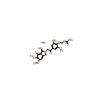 Br.CCOc1cc(C(=O)CN2Cc3cc(OCC)c(OCC)c(F)c3C2=N)cc(C(C)(C)C)c1OCOC(=O)C(C)(C)C